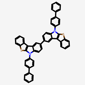 c1ccc(-c2ccc(-n3c4ccc(-c5ccc6c(c5)c5c7ccccc7sc5n6-c5ccc(-c6ccccc6)cc5)cc4c4c5ccccc5sc43)cc2)cc1